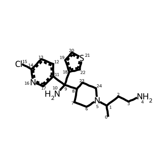 CC(CCN)N1CCC(C(N)(c2ccc(Cl)nc2)c2ccsc2)CC1